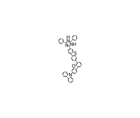 c1ccc(C2=NC(c3ccc4c(c3)sc3cc(-c5cccc6c5oc5cc(-n7c8ccccc8c8ccccc87)ccc56)ccc34)NC(c3ccccc3)N2)cc1